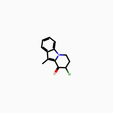 Cc1c2n(c3ccccc13)CCC(Br)C2=O